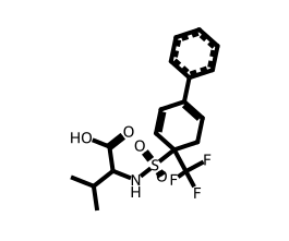 CC(C)C(NS(=O)(=O)C1(C(F)(F)F)C=CC(c2ccccc2)=CC1)C(=O)O